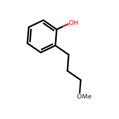 COCCCc1ccccc1O